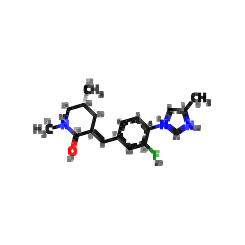 Cc1cn(-c2ccc(/C=C3\C[C@@H](C)CN(C)C3=O)cc2F)cn1